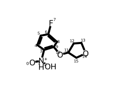 [O-][NH+](O)c1ccc(F)cc1OC1CCOC1